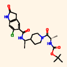 CC(NC(=O)c1cc2c(cc1Cl)NC(=O)C2)C1CCN(C(=O)[C@H](C)NC(=O)OC(C)(C)C)CC1